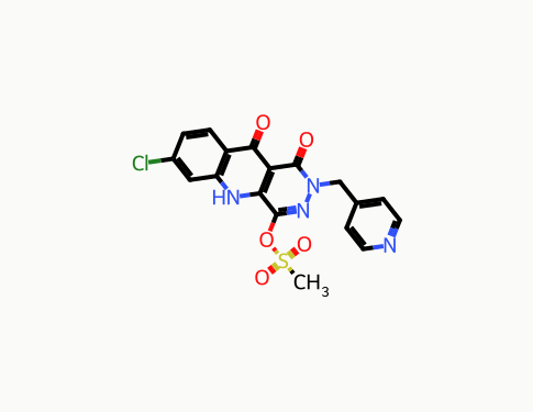 CS(=O)(=O)Oc1nn(Cc2ccncc2)c(=O)c2c(=O)c3ccc(Cl)cc3[nH]c12